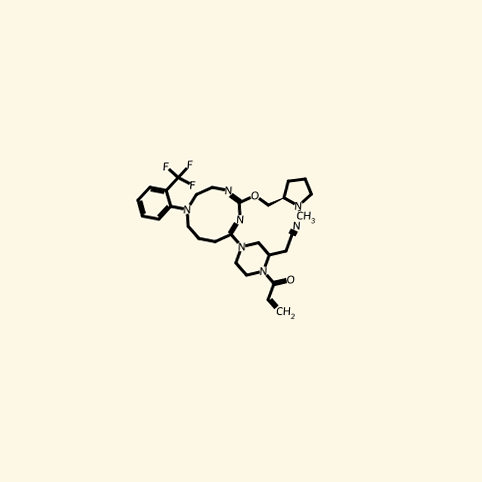 C=CC(=O)N1CCN(/C2=N/C(OC[C@H]3CCCN3C)=N\CCN(c3ccccc3C(F)(F)F)CCC2)CC1CC#N